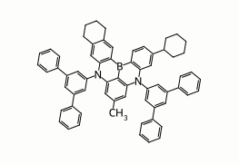 Cc1cc2c3c(c1)N(c1cc(-c4ccccc4)cc(-c4ccccc4)c1)c1cc4c(cc1B3c1ccc(C3CCCCC3)cc1N2c1cc(-c2ccccc2)cc(-c2ccccc2)c1)CCCC4